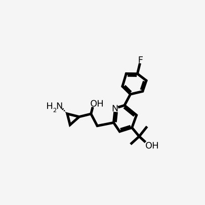 CC(C)(O)c1cc(CC(O)C2C[C@@H]2N)nc(-c2ccc(F)cc2)c1